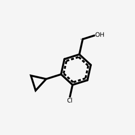 O[CH]c1ccc(Cl)c(C2CC2)c1